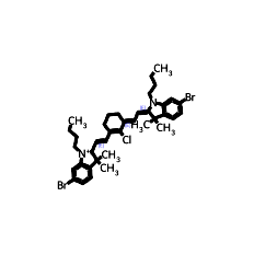 CCCCN1/C(=C/C=C2\CCCC(/C=C/C3=[N+](CCCC)c4cc(Br)ccc4C3(C)C)=C2Cl)C(C)(C)c2ccc(Br)cc21